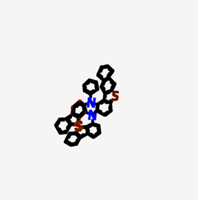 c1ccc(N(c2ccccc2)c2c(N(c3cccc4c3sc3ccccc34)c3cccc4c3sc3ccccc34)ccc3sc4cc5ccccc5cc4c23)cc1